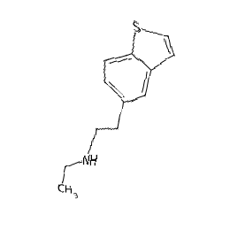 CCNCCc1ccc2sccc2c1